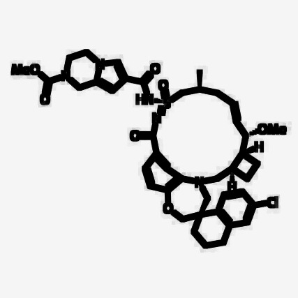 COC(=O)N1CCn2cc(C(=O)N[S@@]3(=O)=NC(=O)c4ccc5c(c4)N(C[C@@H]4CC[C@H]4[C@@H](OC)/C=C/C[C@H](C)C3)C[C@@]3(CCCc4cc(Cl)ccc43)CO5)cc2C1